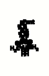 C=C(CO)C(=O)OCC(COC(=O)C(=C)CO)c1ccc(C2CCC(CCCCC)CC2)c(F)c1F